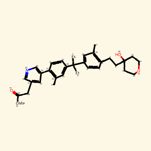 CCC(CC)(c1ccc(CCC2(O)CCOCC2)c(C)c1)c1ccc(-c2cncc(CC(=O)OC)c2)c(C)c1